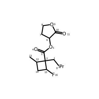 CC(C)CC1(C(=O)OC2CCOC2=O)C(C)CC1F